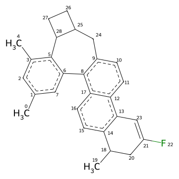 Cc1cc(C)c2c(c1)-c1c(ccc3c4c(ccc13)C(C)CC(F)=C4)CC1CCC21